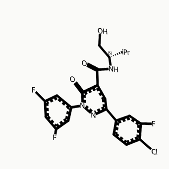 CC(C)[C@@H](CO)NC(=O)c1cc(-c2ccc(Cl)c(F)c2)nn(-c2cc(F)cc(F)c2)c1=O